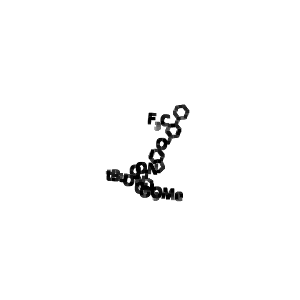 COC(=O)C[C@H](C(=O)N1CCc2cc(OCc3ccc(C4CCCCC4)c(C(F)(F)F)c3)ccc21)N(C)C(=O)OC(C)(C)C